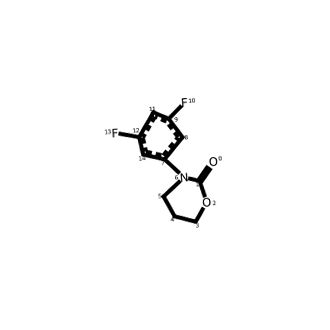 O=C1OCCCN1c1cc(F)cc(F)c1